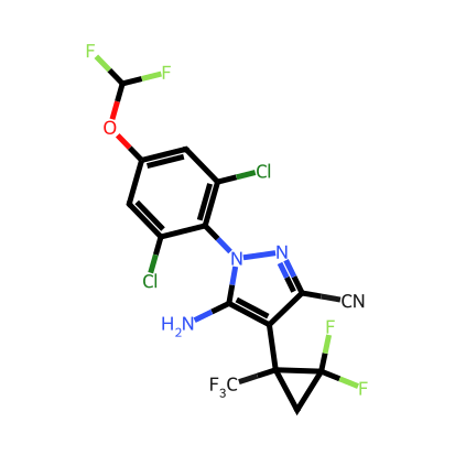 N#Cc1nn(-c2c(Cl)cc(OC(F)F)cc2Cl)c(N)c1C1(C(F)(F)F)CC1(F)F